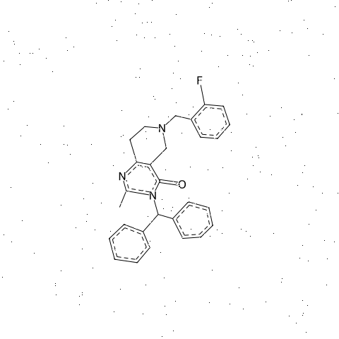 Cc1nc2c(c(=O)n1C(c1ccccc1)c1ccccc1)CN(Cc1ccccc1F)CC2